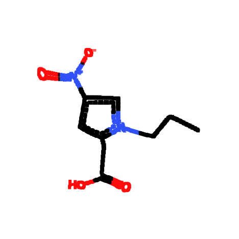 CCCn1cc([N+](=O)[O-])cc1C(=O)O